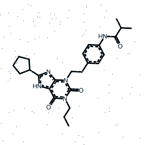 CCCn1c(=O)c2[nH]c(C3CCCC3)nc2n(CCc2ccc(NC(=O)C(C)C)cc2)c1=O